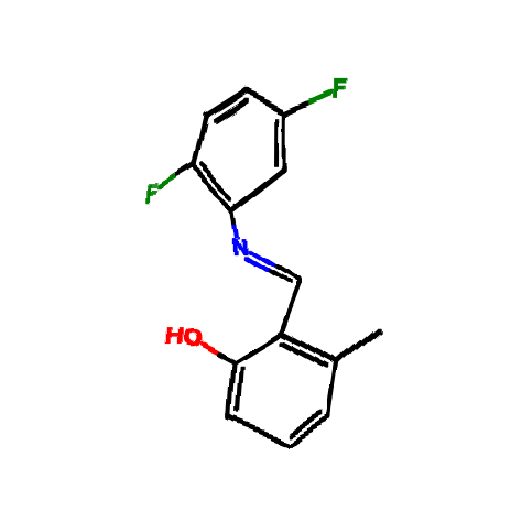 Cc1cccc(O)c1/C=N/c1cc(F)ccc1F